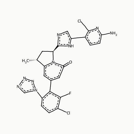 C[C@@H]1C[C@@H](c2ncc(-c3ccc(N)nc3Cl)[nH]2)n2c1cc(-c1c(-n3cnnn3)ccc(Cl)c1F)cc2=O